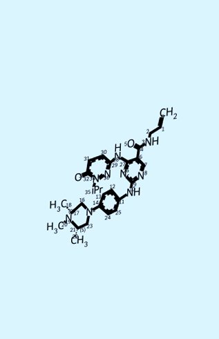 C=CCNC(=O)c1cnc(Nc2ccc(N3C[C@@H](C)N(C)[C@@H](C)C3)cc2)nc1Nc1ccc(=O)n(C(C)C)n1